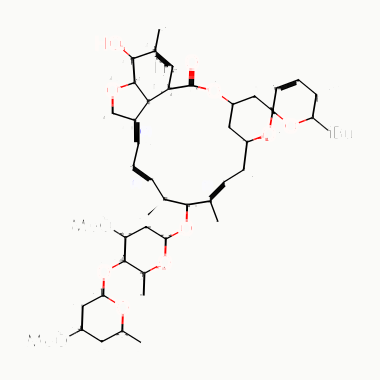 CCC(C)C1OC2(C=C[C@@H]1C)CC1CC(C/C=C(\C)C(OC3CC(OC)C(OC4CC(OC)CC(C)O4)C(C)O3)[C@@H](C)/C=C/C=C3\COC4C(O)C(C)=C[C@@H](C(=O)O1)C34)O2